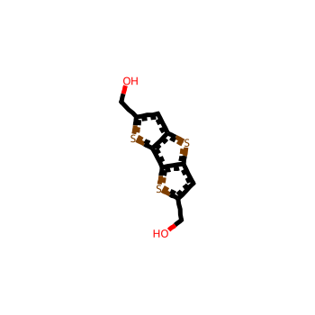 OCc1cc2sc3cc(CO)sc3c2s1